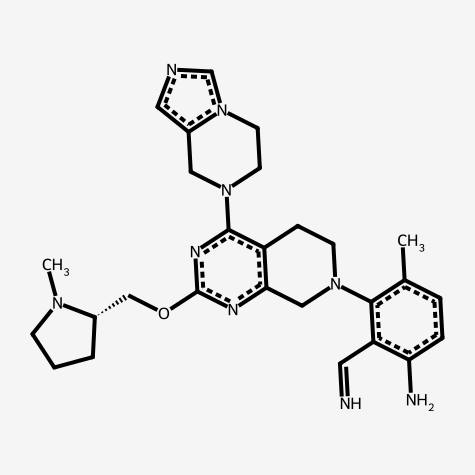 Cc1ccc(N)c(C=N)c1N1CCc2c(nc(OC[C@@H]3CCCN3C)nc2N2CCn3cncc3C2)C1